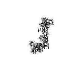 O=C(Nc1ccc(CN(Cc2ccc(NC(=O)[C@@H]3CCCN3C(=O)[C@@H](c3ccccc3)N3CCCC3)cc2)c2ccccc2)cc1)[C@@H]1CCCN1C(=O)[C@@H](c1ccccc1)N1CCCC1